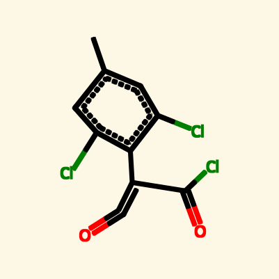 Cc1cc(Cl)c(C(=C=O)C(=O)Cl)c(Cl)c1